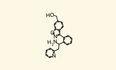 NC(Cc1ccccn1)c1ccccc1-c1noc2cc(CO)ccc12